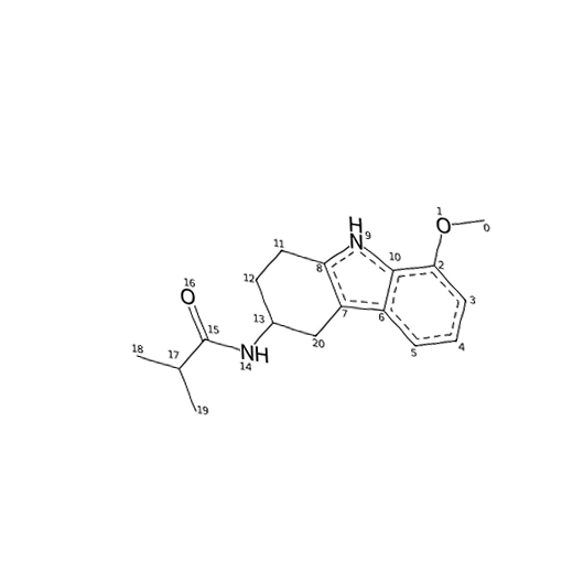 COc1cccc2c3c([nH]c12)CCC(NC(=O)C(C)C)C3